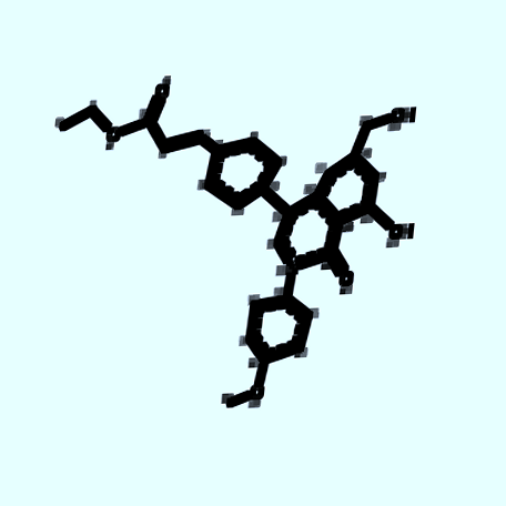 CCOC(=O)/C=C/c1ccc(-c2cn(-c3ccc(OC)cc3)c(=O)c3c(O)cc(CO)cc23)cc1